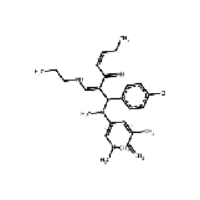 C=C/C(C)=C\C(=C/N(C)C)N(C)C(/C(=C/NCCC)C(=N)/C=C\CC)c1ccc(Cl)cc1